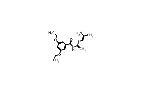 C=C(NC(=O)c1cc(OCC)cc(OCC)c1)S/C=C(/C)N